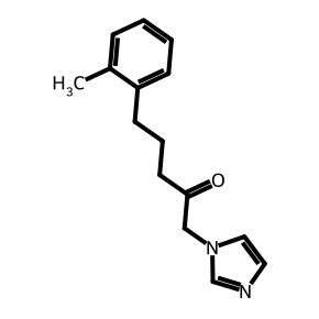 Cc1ccccc1CCCC(=O)Cn1ccnc1